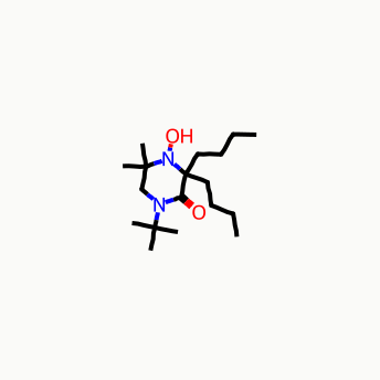 CCCCC1(CCCC)C(=O)N(C(C)(C)C)CC(C)(C)N1O